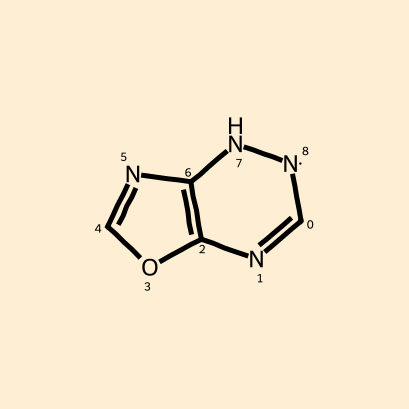 C1=Nc2ocnc2N[N]1